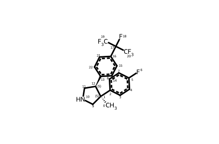 C[C@]1(c2ccc(F)cc2)CNC[C@H]1c1ccc(C(F)(C(F)(F)F)C(F)(F)F)cc1